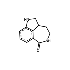 O=C1NCCC2CNc3cccc1c32